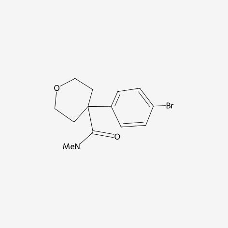 CNC(=O)C1(c2ccc(Br)cc2)CCOCC1